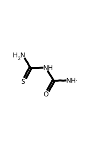 [NH]C(=O)NC(N)=S